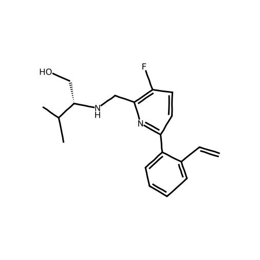 C=Cc1ccccc1-c1ccc(F)c(CN[C@@H](CO)C(C)C)n1